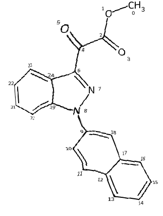 COC(=O)C(=O)c1nn(-c2ccc3ccccc3c2)c2ccccc12